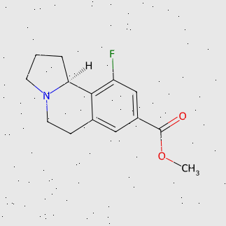 COC(=O)c1cc(F)c2c(c1)CCN1CCC[C@@H]21